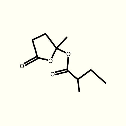 CCC(C)C(=O)OC1(C)CCC(=O)O1